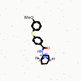 COc1cccc(Sc2ccc(C(=O)N[C@@H]3C[C@H]4CC[C@@H]3N4)cc2)c1